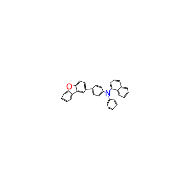 c1ccc(N(c2ccc(-c3ccc4oc5ccccc5c4c3)cc2)c2cccc3ccccc23)cc1